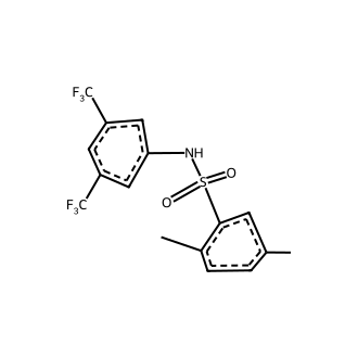 Cc1ccc(C)c(S(=O)(=O)Nc2cc(C(F)(F)F)cc(C(F)(F)F)c2)c1